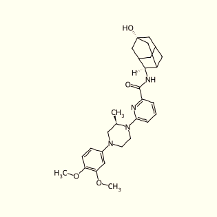 COc1ccc(N2CCN(c3cccc(C(=O)N[C@H]4C5CC6CC4C[C@](O)(C6)C5)n3)[C@H](C)C2)cc1OC